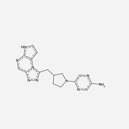 Nc1cnc(N2CCC(Cc3nnc4cnc5[nH]ccc5n34)C2)cn1